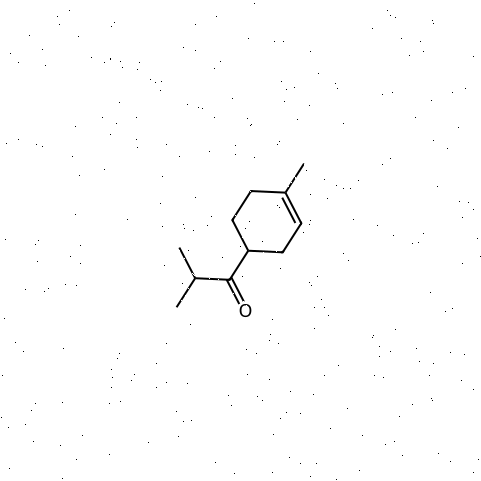 CC1=CCC(C(=O)C(C)C)CC1